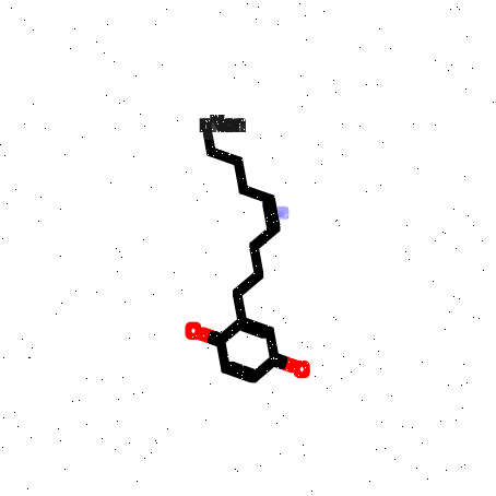 CCCCCCCCCCCC/C=C\CCCC1=CC(=O)C=CC1=O